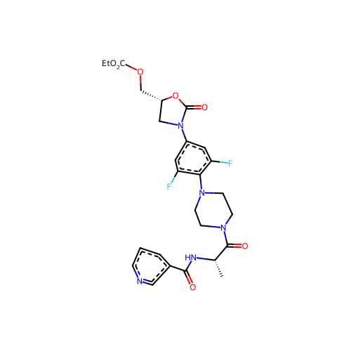 CCOC(=O)OC[C@H]1CN(c2cc(F)c(N3CCN(C(=O)[C@H](C)NC(=O)c4cccnc4)CC3)c(F)c2)C(=O)O1